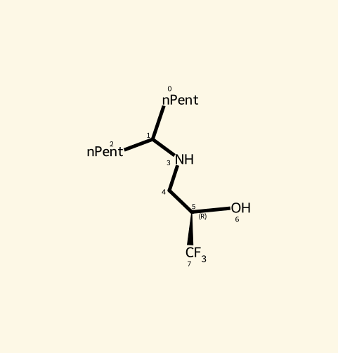 CCCCCC(CCCCC)NC[C@@H](O)C(F)(F)F